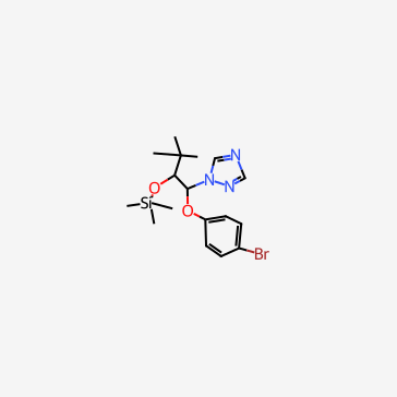 CC(C)(C)C(O[Si](C)(C)C)C(Oc1ccc(Br)cc1)n1cncn1